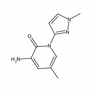 Cc1cc(N)c(=O)n(-c2ccn(C)n2)c1